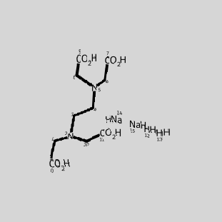 O=C(O)CN(CCN(CC(=O)O)CC(=O)O)CC(=O)O.[HH].[HH].[NaH].[NaH]